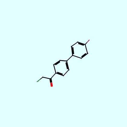 O=C(CCl)c1ccc(-c2ccc(Br)cc2)cc1